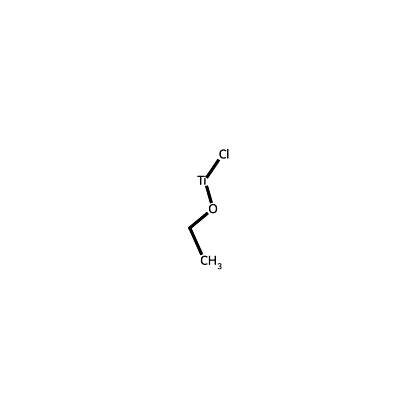 CC[O][Ti][Cl]